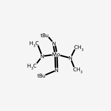 C[N](C)[Mo](=[N]C(C)(C)C)(=[N]C(C)(C)C)[N](C)C